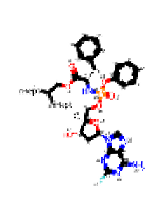 CCCCCCCC(CCCCCCC)COC(=O)[C@H](Cc1ccccc1)NP(=O)(OC[C@@]1(C)O[C@@H](n2cnc3c(N)nc(F)nc32)C[C@@H]1O)Oc1ccccc1